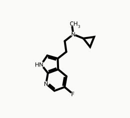 CN(CCc1c[nH]c2ncc(F)cc12)C1CC1